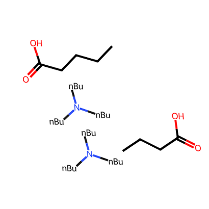 CCCC(=O)O.CCCCC(=O)O.CCCCN(CCCC)CCCC.CCCCN(CCCC)CCCC